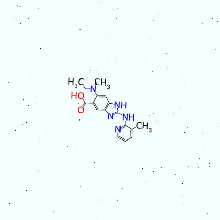 CCN(C)c1cc2[nH]c(Nc3ncccc3C)nc2cc1C(=O)O